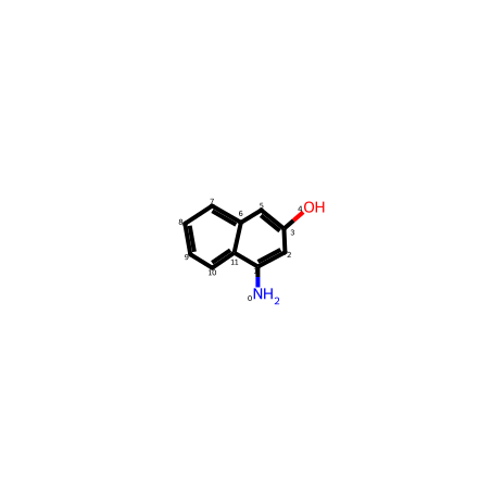 Nc1cc(O)cc2ccccc12